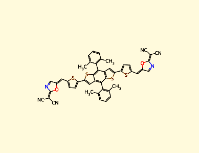 Cc1cccc(C)c1-c1c2cc(-c3ccc(/C=c4/cnc(=C(C#N)C#N)o4)s3)sc2c(-c2c(C)cccc2C)c2cc(-c3ccc(/C=c4/cnc(=C(C#N)C#N)o4)s3)sc12